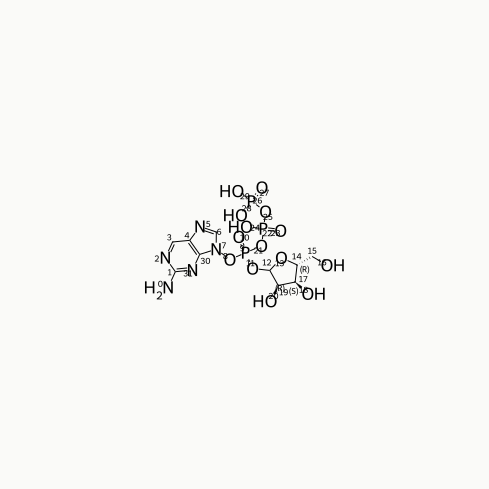 Nc1ncc2ncn(OP(=O)(OC3O[C@H](CO)[C@@H](O)[C@H]3O)OP(=O)(O)OP(=O)(O)O)c2n1